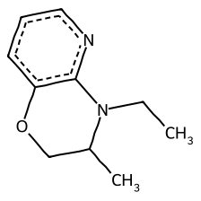 CCN1c2ncccc2OCC1C